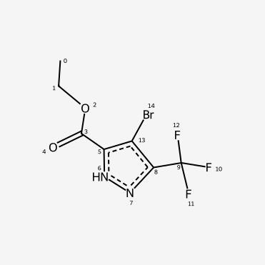 CCOC(=O)c1[nH]nc(C(F)(F)F)c1Br